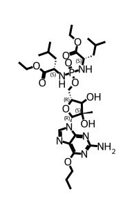 CCCOc1nc(N)nc2c1ncn2[C@@H]1O[C@H](COP(=O)(N[C@@H](CC(C)C)C(=O)OCC)N[C@@H](CC(C)C)C(=O)OCC)C(O)[C@]1(C)O